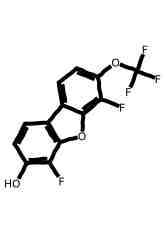 Oc1ccc2c(oc3c(F)c(OC(F)(F)F)ccc32)c1F